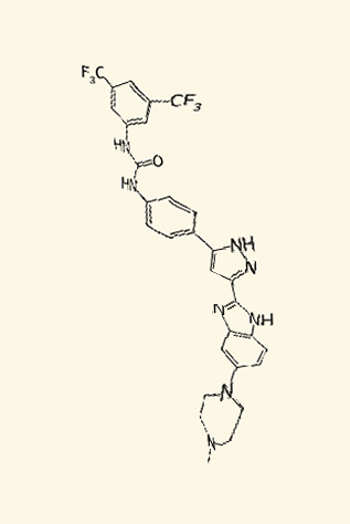 CN1CCN(c2ccc3[nH]c(-c4cc(-c5ccc(NC(=O)Nc6cc(C(F)(F)F)cc(C(F)(F)F)c6)cc5)[nH]n4)nc3c2)CC1